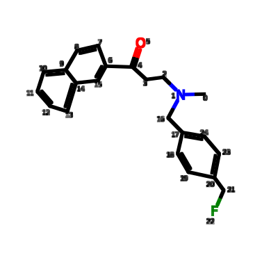 CN(CCC(=O)c1ccc2ccccc2c1)Cc1ccc(CF)cc1